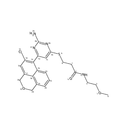 COCCNC(=O)CCSc1cc(-c2c(Cl)cc3c4c(cccc24)COC3)nc(N)n1